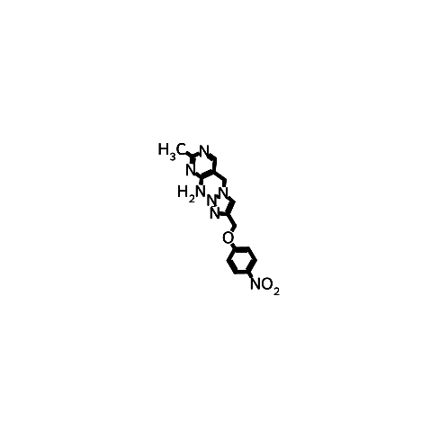 Cc1ncc(Cn2cc(COc3ccc([N+](=O)[O-])cc3)nn2)c(N)n1